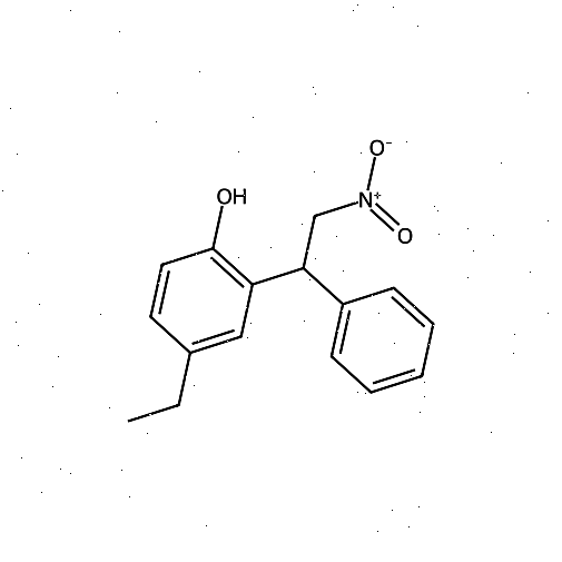 CCc1ccc(O)c(C(C[N+](=O)[O-])c2ccccc2)c1